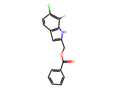 O=C(OCc1cc2ccc(Cl)c(F)c2[nH]1)c1ccccc1